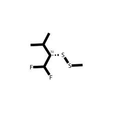 CSS[C@@H](C(C)C)C(F)F